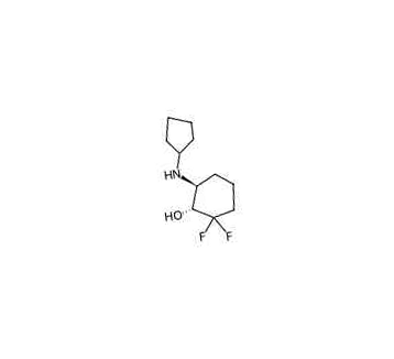 O[C@@H]1[C@@H](NC2CCCC2)CCCC1(F)F